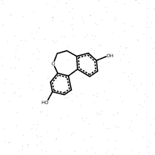 Oc1ccc2c(c1)CCOc1cc(O)ccc1-2